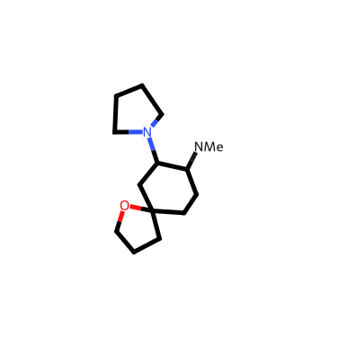 CNC1CCC2(CCCO2)CC1N1CCCC1